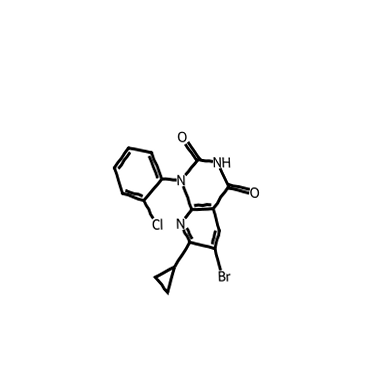 O=c1[nH]c(=O)n(-c2ccccc2Cl)c2nc(C3CC3)c(Br)cc12